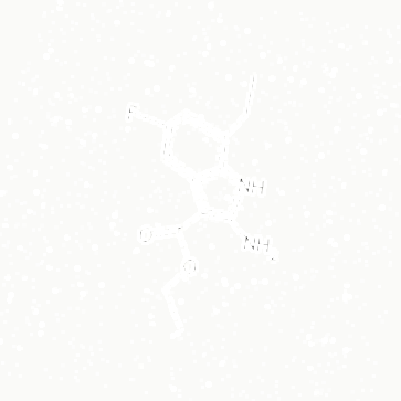 CCOC(=O)c1c(N)[nH]c2c(CC)cc(F)cc12